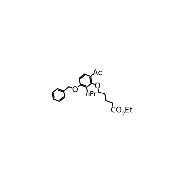 CCCc1c(OCc2ccccc2)ccc(C(C)=O)c1OCCCCC(=O)OCC